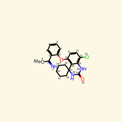 COC(=N)c1ccccc1Oc1ccc(Cl)c2c1C1(CCCCC1)NC(=O)N2